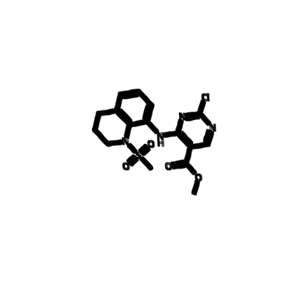 COC(=O)c1cnc(Cl)nc1Nc1cccc2c1N(S(C)(=O)=O)CCC2